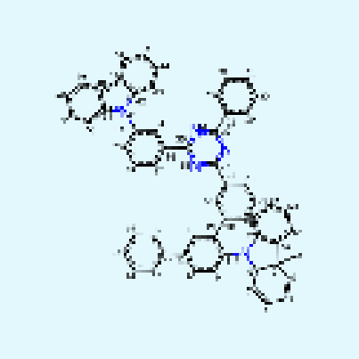 CC12C=CC=CC1N(c1ccc(-c3ccccc3)cc1-c1cccc(-c3nc(-c4ccccc4)nc(-c4cccc(-n5c6ccccc6c6ccccc65)c4)n3)c1)c1ccccc12